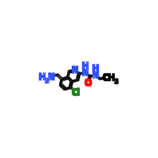 CCNC(=O)Nc1cc2c(Cl)ccc(CN)c2cn1